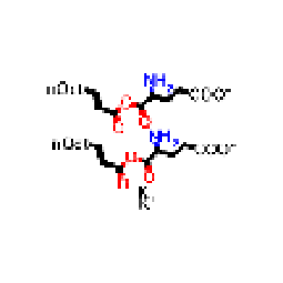 CCCCCCCCC=CC(=O)OC(=O)C(N)CCC(=O)[O-].CCCCCCCCC=CC(=O)OC(=O)C(N)CCC(=O)[O-].[K+].[K+]